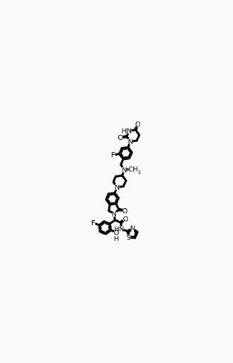 CN(Cc1ccc(N2CCC(=O)NC2=O)cc1F)C1CCN(c2ccc3c(c2)C(=O)N(C(C(=O)Nc2nccs2)c2cc(F)ccc2O)C3)CC1